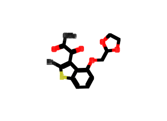 CCc1sc2cccc(OCC3OCCO3)c2c1C(=O)C(=O)OC